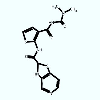 CN(C)C(=O)NC(=O)c1ccsc1NC(=O)C1Nc2cnccc2S1